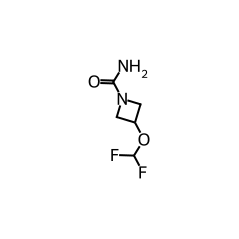 NC(=O)N1CC(OC(F)F)C1